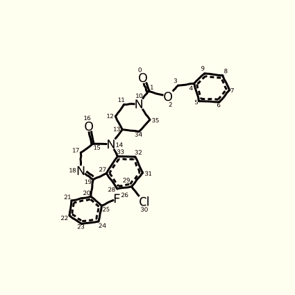 O=C(OCc1ccccc1)N1CCC(N2C(=O)CN=C(c3ccccc3F)c3cc(Cl)ccc32)CC1